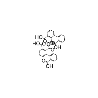 O=C(O)c1ccccc1-c1cccc(C(=O)O)c1C(=O)OC(=O)c1c(C(=O)O)cccc1-c1ccccc1C(=O)O